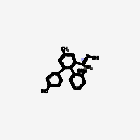 COc1ccccc1-c1c(/C(N)=N/O)cc(C)cc1-c1ccc(O)cc1